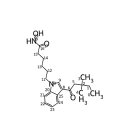 CCC(C)(C)CC(=O)c1cn(CCCCCC(=O)NO)c2ccccc12